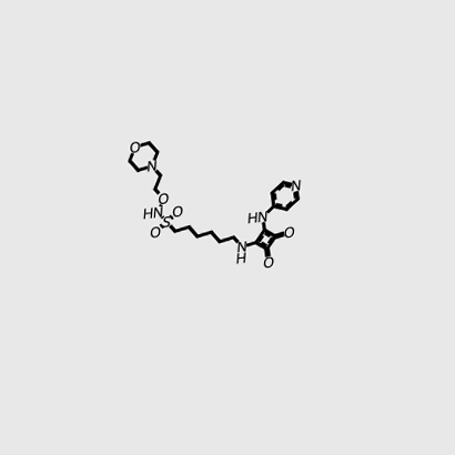 O=c1c(NCCCCCCS(=O)(=O)NOCCN2CCOCC2)c(Nc2ccncc2)c1=O